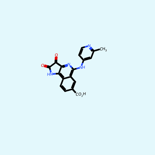 Cc1cc(Nc2nc3c(c4ccc(C(=O)O)cc24)NC(=O)C3=O)ccn1